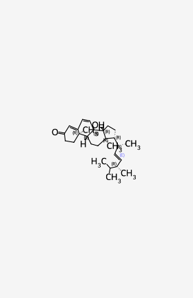 CC(C)[C@@H](C)/C=C/[C@@H](C)[C@H]1CC[C@H]2[C@]3(O)C=CC4=CC(=O)CC[C@]4(C)[C@H]3CC[C@]12C